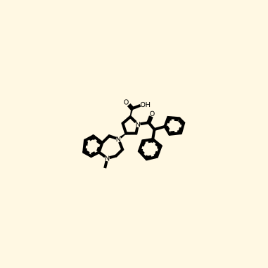 CN1CCN([C@H]2C[C@@H](C(=O)O)N(C(=O)C(c3ccccc3)c3ccccc3)C2)Cc2ccccc21